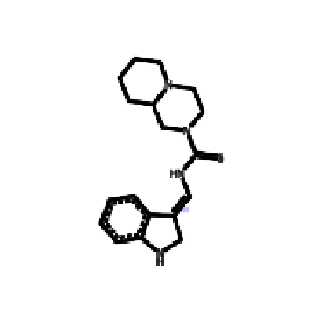 S=C(N/C=C1/CNc2ccccc21)N1CCN2CCCCC2C1